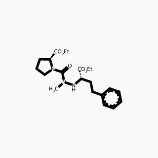 CCOC(=O)[C@H](CCc1ccccc1)NN(C)C(=O)N1CCC[C@H]1C(=O)OCC